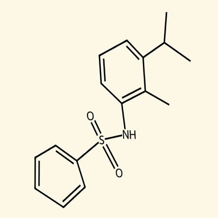 Cc1c(NS(=O)(=O)c2ccccc2)cccc1C(C)C